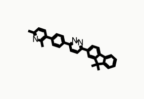 Cc1ccc(-c2ccc(-c3ccc(-c4ccc5c(c4)C(C)(C)c4ccccc4-5)nn3)cc2)c(C)n1